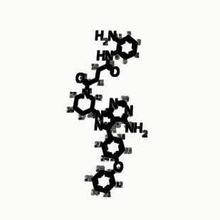 Nc1ccccc1NC(=O)CCC(=O)N1CCCC(n2nc(-c3ccc(Oc4ccccc4)cc3)c3c(N)ncnc32)C1